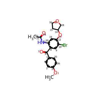 COc1ccc(C(=O)c2cc(Br)c(OC3CCOC3)cc2NC(C)=O)cc1